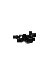 C[C@]12CC[C@H]3[C@@H](CC[C@]4(O)C[C@@H](O)CC[C@]34C)[C@@H]1[C@@H]1CC[C@@H]1[C@@H]2C#N